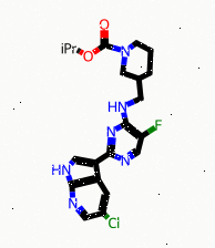 CC(C)OC(=O)N1CCCC(CNc2nc(-c3c[nH]c4ncc(Cl)cc34)ncc2F)C1